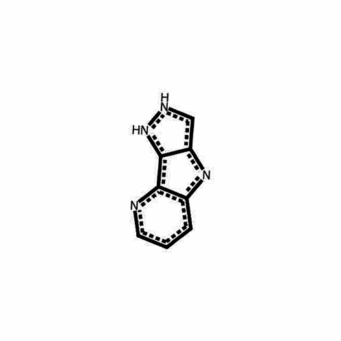 c1cnc2c3[nH][nH]cc-3nc2c1